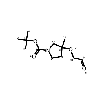 CC(C)(C)OC(=O)N1CCC(C)(OCC=O)C1